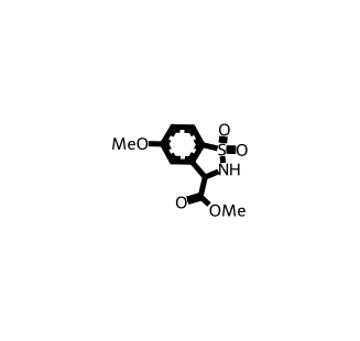 COC(=O)C1NS(=O)(=O)c2ccc(OC)cc21